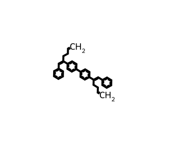 C=CCCC(=Cc1ccccc1)c1ccc(-c2ccc(C(=Cc3ccccc3)CCC=C)cc2)cc1